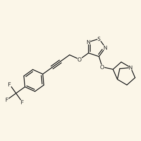 FC(F)(F)c1ccc(C#CCOc2nsnc2OC2CN3CCC2C3)cc1